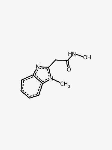 Cn1c(CC(=O)NO)nc2ccccc21